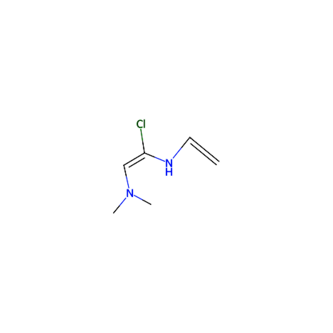 C=CN/C(Cl)=C\N(C)C